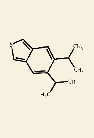 CC(C)c1cc2cscc2cc1C(C)C